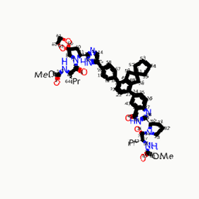 COC(=O)N[C@@H](C(=O)N1CC2(C[C@H]1c1ncc(-c3ccc(-c4ccc(-c5ccc6nc([C@@H]7CCCN7C(=O)[C@H](NC(=O)OC)C(C)C)[nH]c(=O)c6c5)c5c4CC4(CCCC4)C5)cc3)[nH]1)OCCO2)C(C)C